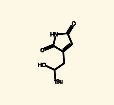 CC(C)(C)C(O)CC1=CC(=O)NC1=O